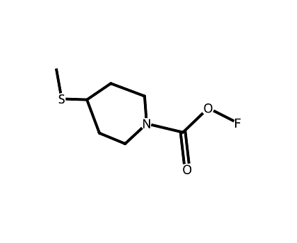 CSC1CCN(C(=O)OF)CC1